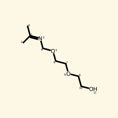 CC(C)=NCOCCOCCO